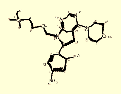 C[Si](C)(C)CCOCn1c(-c2ccc(N)cc2F)cc2c(N3CCOCC3)ncnc21